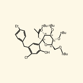 C=C(C)C[C@@]1(c2cc(Cc3ccc(CC)cc3)c(Cl)cc2O)O[C@H](COCCCC)[C@@H](OCCCC)[C@H](OCCCC)[C@H]1OCCCC